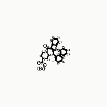 CC(C)(C)OC(=O)N1CCN(C(=O)c2c(Cc3ccccc3)n(-c3ccccc3)c3cccnc23)CC1